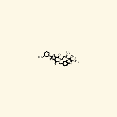 COCCn1c(=O)c2nc(N3CCCC(N)C3)[nH]c2c(=O)n1Cc1ccc2nc(C)c(C)nc2c1